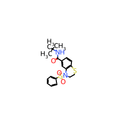 CC(C)(C)NC(=O)c1ccc2c(c1)N(S(=O)(=O)c1ccccc1)CCS2